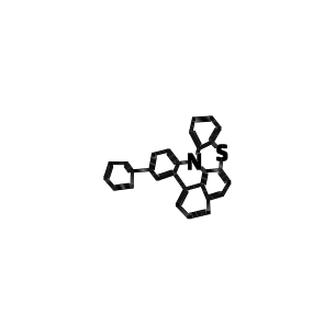 c1ccc(-c2ccc3c(c2)c2cccc4ccc5sc6ccccc6n3-c5c42)cc1